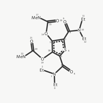 CCN(CC)C(=O)c1sc(C(=O)N(CC)CC)c(OC(=O)NC)c1OC(=O)NC